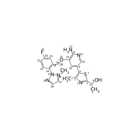 Cc1nc(C(C)O)sc1-c1cnc(N)c(O[C@H](C)c2cc(F)ccc2-n2nccn2)c1